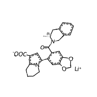 C[C@@H]1Cc2ccccc2CN1C(=O)c1cc2c(cc1-c1cc(C(=O)[O-])c3n1CCCC3)OCO2.[Li+]